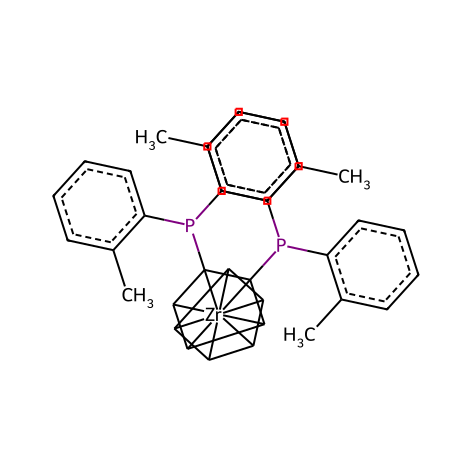 Cc1ccccc1P(c1ccccc1C)[C]12[CH]3[CH]4[CH]5[C]1(P(c1ccccc1C)c1ccccc1C)[Zr]43521678[CH]2[CH]1[CH]6[CH]7[CH]28